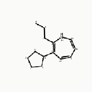 CCCC1=C(C2CCCC2)C=CC=CN1